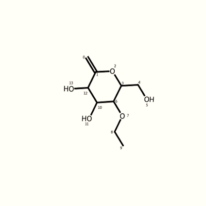 C=C1OC(CO)C(OCC)C(O)C1O